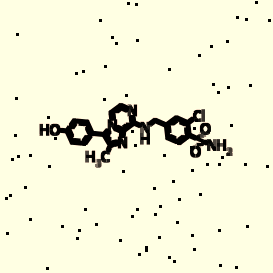 Cc1nc2c(NCc3ccc(S(N)(=O)=O)c(Cl)c3)nccn2c1-c1ccc(O)cc1